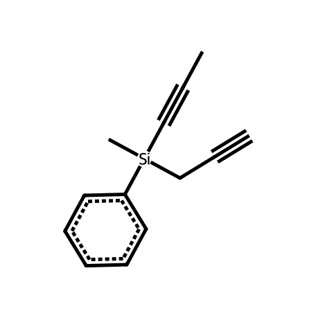 C#CC[Si](C)(C#CC)c1ccccc1